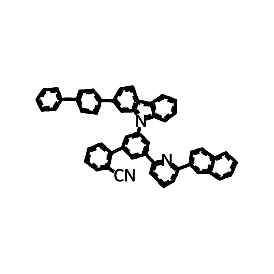 N#Cc1ccccc1-c1cc(-c2cccc(-c3ccc4ccccc4c3)n2)cc(-n2c3ccccc3c3ccc(-c4ccc(-c5ccccc5)cc4)cc32)c1